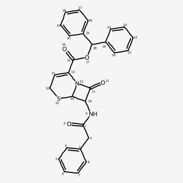 O=C(Cc1ccccc1)NC1C(=O)N2C(C(=O)OC(c3ccccc3)c3ccccc3)=CCSC12